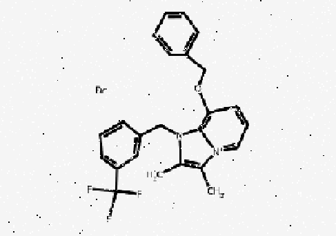 Cc1c(C)[n+]2cccc(OCc3ccccc3)c2n1Cc1cccc(C(F)(F)F)c1.[Br-]